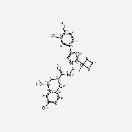 O=C(NCCC1(c2ncc(-c3ccc(Cl)c(F)c3)o2)CCC1)[C@@H]1C[C@@H](O)c2cc(Cl)ccc2O1